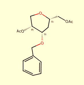 CC(=O)OC[C@@H]1C[C@H](OCc2ccccc2)[C@H](OC(C)=O)CO1